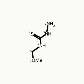 COCNC(=S)NN